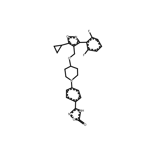 O=c1[nH]c(-c2ccc(N3CCC(OCc4c(-c5c(F)cccc5F)noc4C4CC4)CC3)cc2)no1